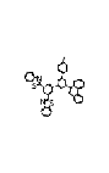 Cc1ccc(-c2cc(-c3cc(-c4nc5ccccc5s4)cc(-c4nc5ccccc5s4)c3)cc(-c3cc4ccccc4c4ccccc34)c2)cc1